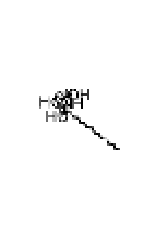 CCCCCCCCCCCCCCC[C@@H](O)[C@H](CO)NC(=O)[C@@H](C)O